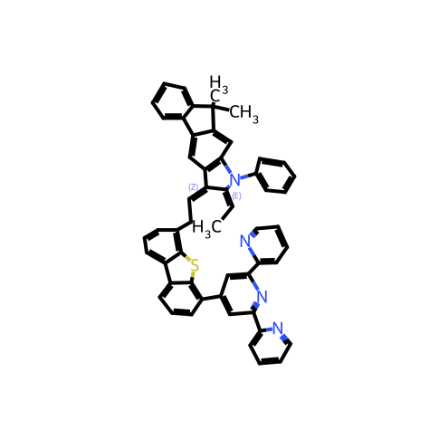 C/C=c1\c(=C/Cc2cccc3c2sc2c(-c4cc(-c5ccccn5)nc(-c5ccccn5)c4)cccc23)c2cc3c(cc2n1-c1ccccc1)C(C)(C)c1ccccc1-3